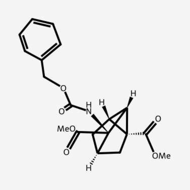 COC(=O)[C@]12C[C@H]3C[C@@H]1[C@H]2[C@@]3(NC(=O)OCc1ccccc1)C(=O)OC